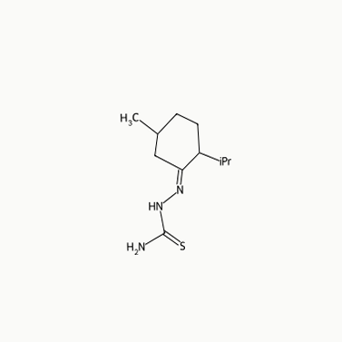 CC1CCC(C(C)C)C(=NNC(N)=S)C1